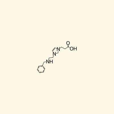 O=C(O)CCN1C=CN(CCNCc2ccccc2)C1